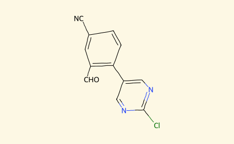 N#Cc1ccc(-c2cnc(Cl)nc2)c(C=O)c1